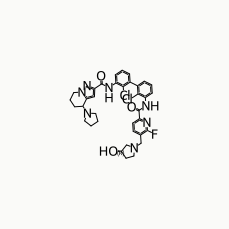 O=C(Nc1cccc(-c2cccc(NC(=O)c3cc4n(n3)CCCC4N3CCCC3)c2Cl)c1Cl)c1ccc(CN2CC[C@@H](O)C2)c(F)n1